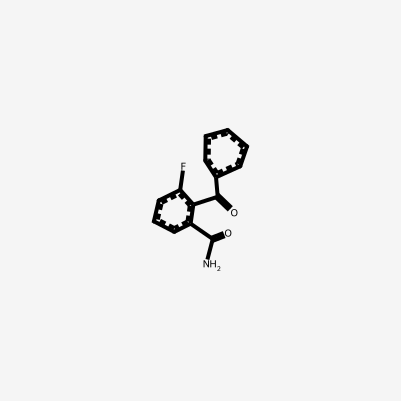 NC(=O)c1cccc(F)c1C(=O)c1ccccc1